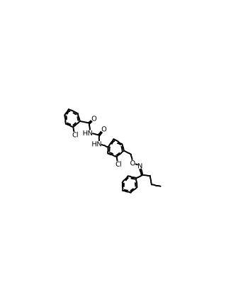 CCCC(=NOCc1ccc(NC(=O)NC(=O)c2ccccc2Cl)cc1Cl)c1ccccc1